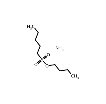 CCCCCS(=O)(=O)OCCCC.N